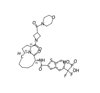 O=C(N[C@H]1CCCCC[C@H]2CC[C@@H](C(=O)N3CC(C(=O)N4CCOCC4)C3)N2C1=O)c1cc2cc(C(F)(F)P(=O)(O)O)ccc2s1